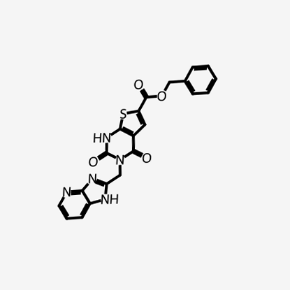 O=C(OCc1ccccc1)c1cc2c(=O)n(Cc3nc4ncccc4[nH]3)c(=O)[nH]c2s1